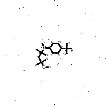 COC(C)(C)CC(C)(C)N(C)C1CCC(C(C)(C)C)CC1